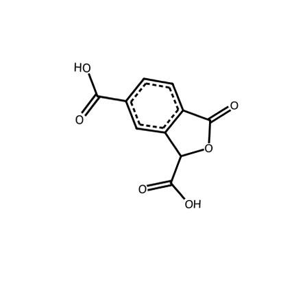 O=C(O)c1ccc2c(c1)C(C(=O)O)OC2=O